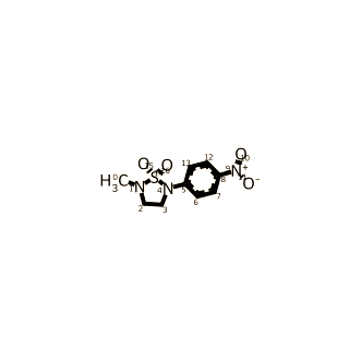 CN1CCN(c2ccc([N+](=O)[O-])cc2)S1(=O)=O